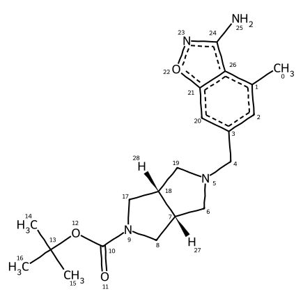 Cc1cc(CN2C[C@@H]3CN(C(=O)OC(C)(C)C)C[C@@H]3C2)cc2onc(N)c12